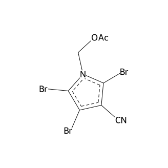 CC(=O)OCn1c(Br)c(Br)c(C#N)c1Br